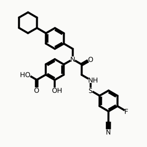 N#Cc1cc(SNCC(=O)N(Cc2ccc(C3CCCCC3)cc2)c2ccc(C(=O)O)c(O)c2)ccc1F